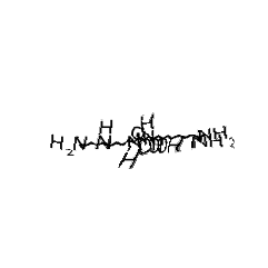 N=C(N)CCCCCC(O)CC(=O)NC(O)C(=O)NCCCCNCCCN